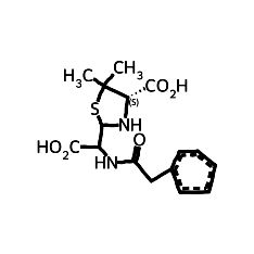 CC1(C)SC(C(NC(=O)Cc2ccccc2)C(=O)O)N[C@H]1C(=O)O